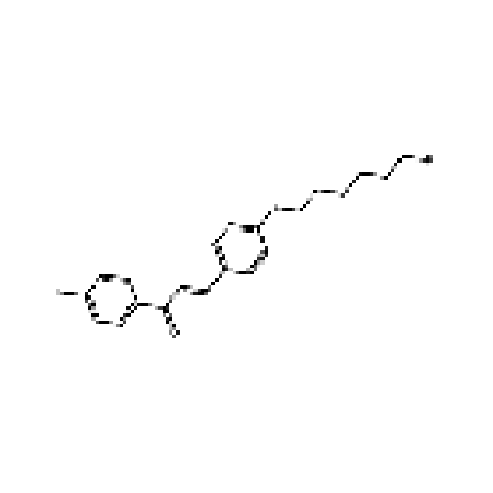 O=C(C=Cc1ccc(OCCCCCCBr)cc1)c1ccc(F)cc1